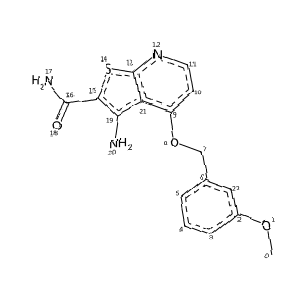 COc1cccc(COc2ccnc3sc(C(N)=O)c(N)c23)c1